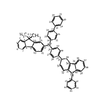 CC1(C)c2ccccc2-c2ccc(N(c3ccc(-c4ccccc4)cc3)c3ccc(C4C=Cc5c(c6ccccc6n5-c5ccccc5)C4)cc3)cc21